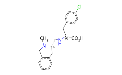 CN1Cc2ccccc2C[C@H]1CN[C@H](Cc1ccc(Cl)cc1)C(=O)O